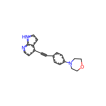 C(#Cc1ccnc2[nH]ccc12)c1ccc(N2CCOCC2)cc1